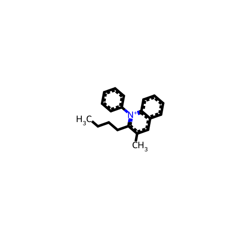 CCCCc1c(C)cc2ccccc2[n+]1-c1ccccc1